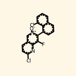 [O-][n+]1cc2ccc(Cl)nc2c(F)c1-c1cccc2cccc(Cl)c12